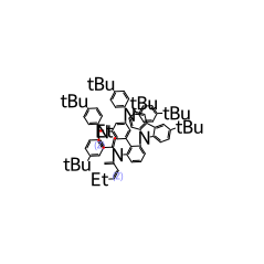 C=C(/C=C\CC)N(C(=C)/C=C\CC)c1cccc(-n2c3ccc(C(C)(C)C)cc3c3cc(C(C)(C)C)ccc32)c1-c1cc(N(c2ccc(C(C)(C)C)cc2)c2ccc(C(C)(C)C)cc2)cc(N(c2ccc(C(C)(C)C)cc2)c2ccc(C(C)(C)C)cc2)c1